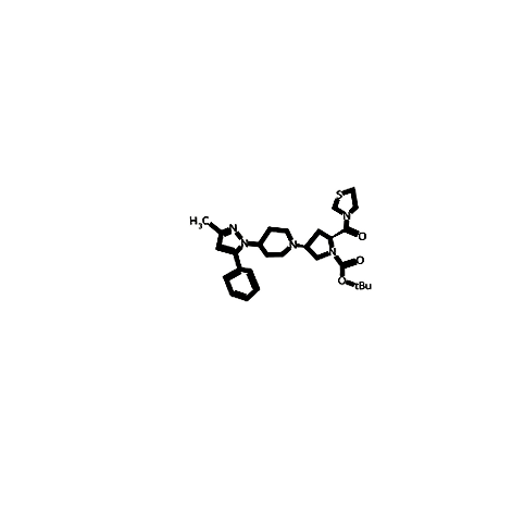 Cc1cc(-c2ccccc2)n(C2CCN([C@H]3C[C@@H](C(=O)N4CCSC4)N(C(=O)OC(C)(C)C)C3)CC2)n1